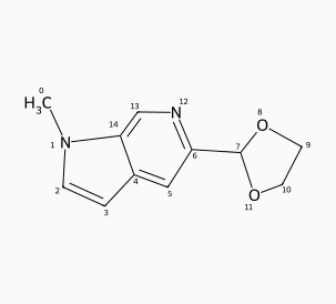 Cn1ccc2cc(C3OCCO3)ncc21